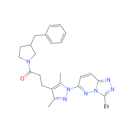 CCc1nnc2ccc(-n3nc(C)c(CCC(=O)N4CCC(Cc5ccccc5)C4)c3C)nn12